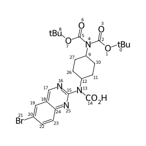 CC(C)(C)OC(=O)N(C(=O)OC(C)(C)C)C1CCC(N(C(=O)O)c2ncc3cc(Br)ccc3n2)CC1